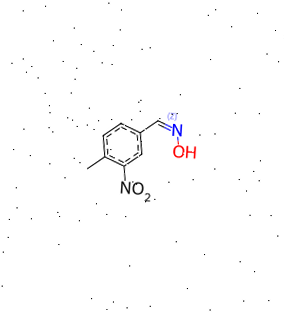 Cc1ccc(/C=N\O)cc1[N+](=O)[O-]